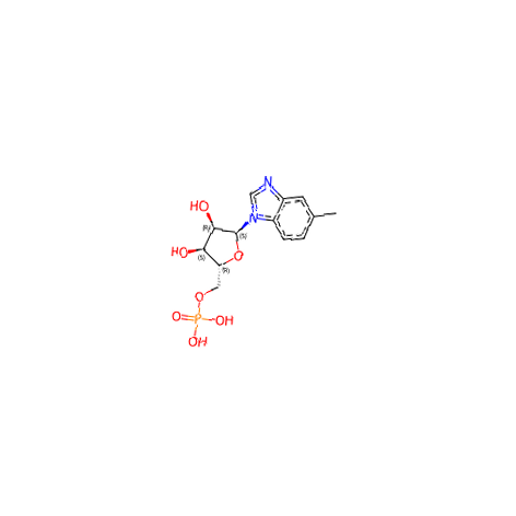 Cc1ccc2c(c1)ncn2[C@H]1O[C@H](COP(=O)(O)O)[C@@H](O)[C@H]1O